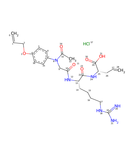 C=CCOc1ccc(N(CC(=O)N[C@@H](CCCCNC(=N)N)C(=O)N[C@@H](CC=C)C(=O)O)C(C)=O)cc1.Cl